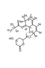 [2H]C1=C([2H])[C@]([2H])(C)[C@H](CCC2C[C@@H](O)CC(=O)O2)[C@@H]2C1=C([2H])[C@]([2H])(C)C([2H])([2H])[C@@H]2OC(=O)[C@@]([2H])(C)CC